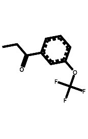 CCC(=O)c1cccc(OC(F)(F)F)c1